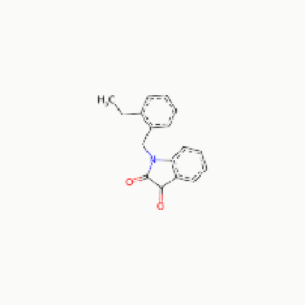 CCc1ccccc1CN1C(=O)C(=O)c2ccccc21